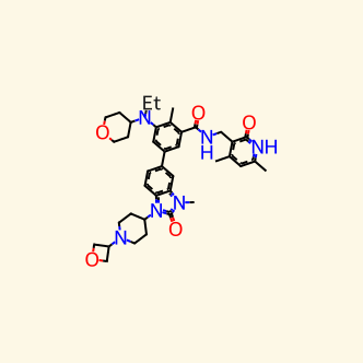 CCN(c1cc(-c2ccc3c(c2)n(C)c(=O)n3C2CCN(C3COC3)CC2)cc(C(=O)NCc2c(C)cc(C)[nH]c2=O)c1C)C1CCOCC1